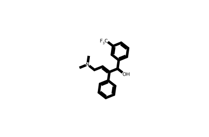 CN(C)C/C=C(\c1ccccc1)C(O)c1cccc(C(F)(F)F)c1